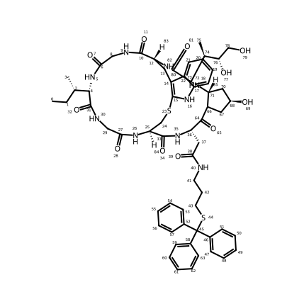 CC[C@H](C)[C@@H]1NC(=O)CNC(=O)[C@H]2Cc3c([nH]c4ccccc34)SC[C@H](NC(=O)CNC1=O)C(=O)N[C@@H](CC(=O)NCCCSC(c1ccccc1)(c1ccccc1)c1ccccc1)C(=O)C1C[C@H](O)C[C@H]1N[C@@H]([C@@H](C)[C@@H](O)CO)C(=O)N2